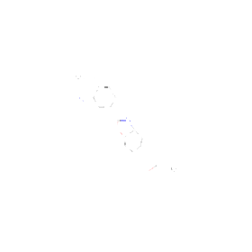 COC(=O)Cc1ccc2oc(-c3ccc(OC)c(N)c3)nc2c1